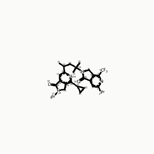 CC(C)c1cc2c(c(C(F)(F)F)n1)CN(C(C)(C)CC(C)c1cc3c(c(C4CC4)n1)CN(C(C)C)C3=O)C2=O